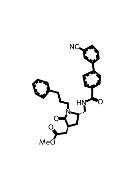 COC(=O)C[C@@H]1C[C@@H](CNC(=O)c2ccc(-c3cccc(C#N)c3)cc2)N(CCCc2ccccc2)C1=O